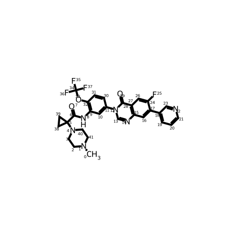 CN1CCN(C2(C(=O)Nc3cc(-n4cnc5cc(-c6cccnc6)c(F)cc5c4=O)ccc3OC(F)(F)F)CC2)CC1